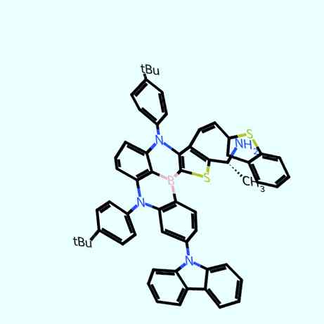 C[C@@H](N)c1sc2c(c1/C=C\C1Cc3ccccc3S1)N(c1ccc(C(C)(C)C)cc1)c1cccc3c1B2c1ccc(-n2c4ccccc4c4ccccc42)cc1N3c1ccc(C(C)(C)C)cc1